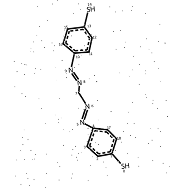 Sc1ccc(N=NCN=Nc2ccc(S)cc2)cc1